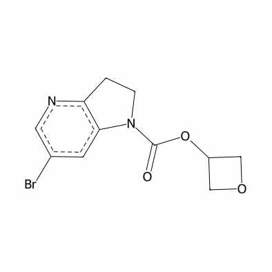 O=C(OC1COC1)N1CCc2ncc(Br)cc21